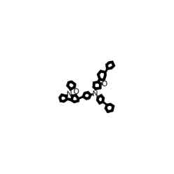 c1ccc(-c2ccc(N(c3ccc(-c4ccc5c6ccccc6n6c5c4Oc4ccccc4-6)cc3)c3ccc4c(c3)oc3cc(-c5ccccc5)ccc34)cc2)cc1